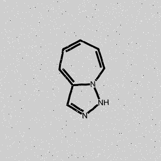 C1=CC=C2C=NNN2C=C1